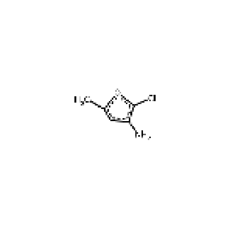 Cc1cc(N)c(Cl)o1